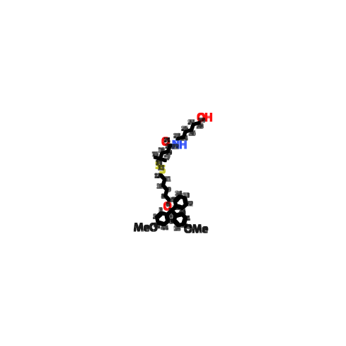 COc1ccc(C(OCCCCCCSSC(C)(C)CCC(=O)NCCCCCCO)(c2ccccc2)c2ccc(OC)cc2)cc1